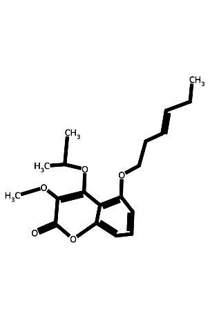 CCC=CCCOc1cccc2oc(=O)c(OC)c(OC(C)C)c12